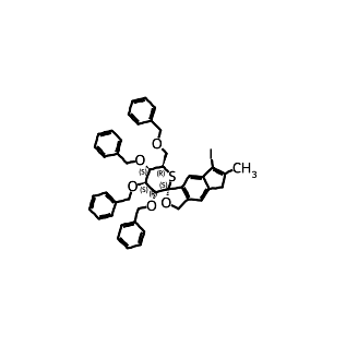 CC1=C(I)c2cc3c(cc2C1)CO[C@]31S[C@H](COCc2ccccc2)[C@@H](OCc2ccccc2)[C@H](OCc2ccccc2)[C@H]1OCc1ccccc1